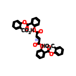 O=C(/C=C/C(=O)Oc1ccccc1C(=O)Oc1ccccc1C(=O)O)Oc1ccccc1C(=O)Oc1ccccc1C(=O)O